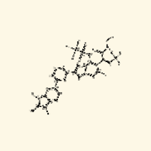 CCOC(=O)[C@@H](OC(C)(C)C)c1c(C)cc2nc(-c3ccnc(-c4ccc5c(c4)n(C)c(=O)n5C)c3)sc2c1OS(=O)(=O)C(F)(F)F